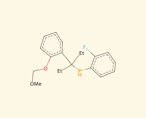 CCC(CC)(Pc1ccccc1F)c1ccccc1OCOC